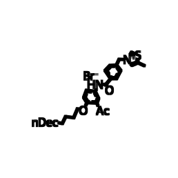 CCCCCCCCCCCCCCOc1ccc(NC(=O)c2ccc(C[n+]3csc(C)c3)cc2)cc1C(C)=O.[Br-]